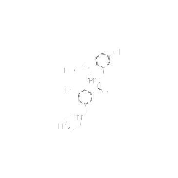 CC[S+]([O-])c1ccc(Cl)cc1CNC(=O)c1cc(Br)cc(CN2CCNCC2)c1